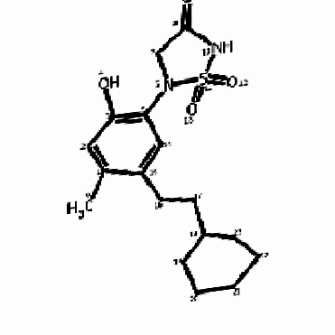 Cc1cc(O)c(N2CC(=O)NS2(=O)=O)cc1CCC1CCCCC1